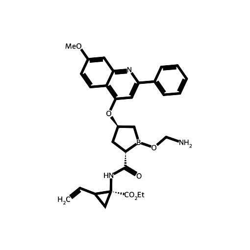 C=CC1C[C@@]1(NC(=O)[C@@H]1C[C@@H](Oc2cc(-c3ccccc3)nc3cc(OC)ccc23)CB1OCN)C(=O)OCC